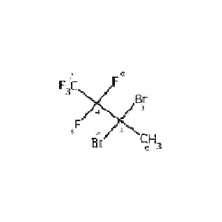 CC(Br)(Br)C(F)(F)C(F)(F)F